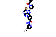 Nc1ncc(Br)n2c([C@@H]3CCCN(C(=O)C4CC4)C3)nc(-c3ccc(C(=O)Nc4cc(C(F)(F)F)ccn4)cc3)c12